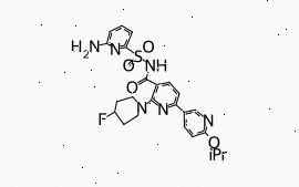 CC(C)Oc1ccc(-c2ccc(C(=O)NS(=O)(=O)c3cccc(N)n3)c(N3CCC(F)CC3)n2)cn1